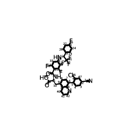 N#Cc1ccc(-c2ccc(C[C@H](NC(=O)c3c(F)cc(N[C@H](c4ccc(F)cc4)C(F)(F)F)cc3F)C(=O)O)c3cccnc23)c(Cl)c1